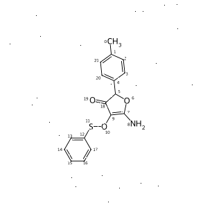 Cc1ccc(C2OC(N)=C(OSc3ccccc3)C2=O)cc1